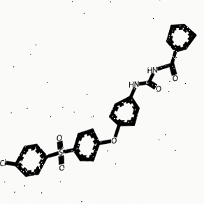 O=C(NC(=O)c1ccccc1)Nc1ccc(Oc2ccc(S(=O)(=O)c3ccc(Cl)cc3)cc2)cc1